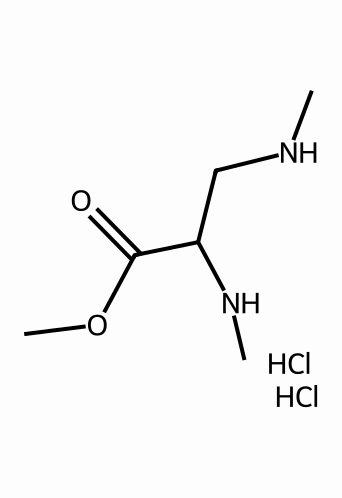 CNCC(NC)C(=O)OC.Cl.Cl